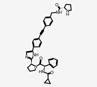 O=C(N[C@@H](C(=O)N1CCC[C@H]1c1ncc(-c2ccc(C#Cc3ccc(CNC(=O)[C@@H]4CCCN4)cc3)cc2)[nH]1)c1ccccc1)C1CC1